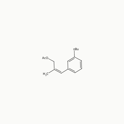 CCCCc1cccc(C=C(C)COC(C)=O)c1